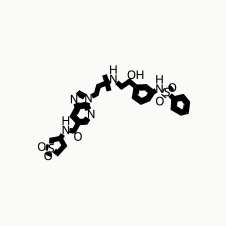 CC(C)(CCn1cnc2cc(C(=O)NC3CCS(=O)(=O)C3)cnc21)NC[C@H](O)c1cccc(NS(=O)(=O)c2ccccc2)c1